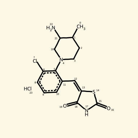 CC1CCN(c2c(Cl)cccc2C=C2SC(=O)NC2=O)CC1N.Cl